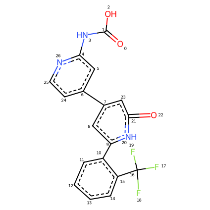 O=C(O)Nc1cc(-c2cc(-c3ccccc3C(F)(F)F)[nH]c(=O)c2)ccn1